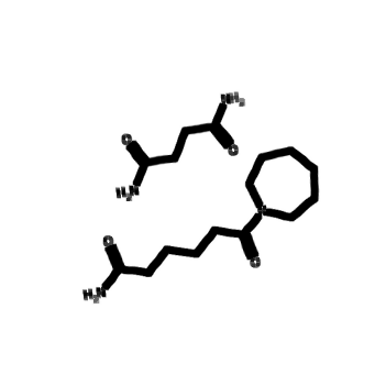 NC(=O)CCC(N)=O.NC(=O)CCCCC(=O)N1CCCCCC1